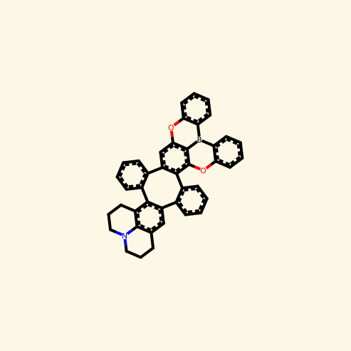 c1ccc2c(c1)Oc1cc3c(c4c1B2c1ccccc1O4)-c1ccccc1-c1cc2c4c(c1-c1ccccc1-3)CCCN4CCC2